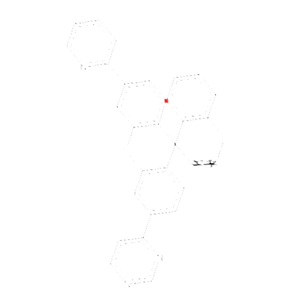 c1ccc(-c2ccc3c(c2)Sc2cc(-c4ccncn4)ccc2C32c3ccccc3Sc3ccccc32)nc1